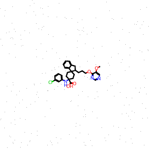 COc1cncnc1OCCCC1Cc2ccccc2C12CCC(Nc1cccc(Cl)c1)(C(=O)O)CC2